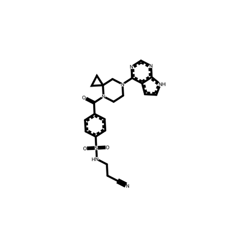 N#CCCNS(=O)(=O)c1ccc(C(=O)N2CCN(c3ncnc4[nH]ccc34)CC23CC3)cc1